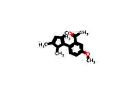 COc1ccc(C2=C(C)C=C(C)C2C)c(C(C)=O)c1